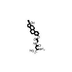 C#C[C@]1(O)CCC2C3CCc4cc(OC(=O)CNC(=O)CC(N)C(=O)O)ccc4C3CC[C@@]21C